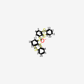 [O-][S+](c1cccc2c1Sc1ccccc1S2)c1cccc2c1Sc1ccccc1S2